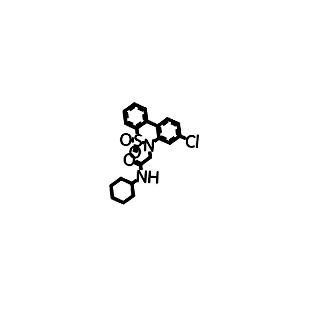 O=C(CN1c2cc(Cl)ccc2-c2ccccc2S1(=O)=O)NC1CCCCC1